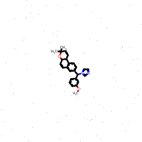 COc1cccc(C(c2ccc3c(c2)C=CC2OC(C)(C)C=CC32)n2ccnc2)c1